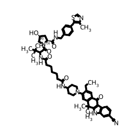 CCc1cc2c(cc1N1CCC(NC(=O)CCCCCC(=O)NC(C(=O)N3C[C@H](O)C[C@H]3C(=O)NCc3ccc(-c4scnc4C)cc3)C(C)(C)C)CC1)C(C)(C)c1[nH]c3cc(C#N)ccc3c1C2=O